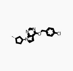 C[C@H]1CC[C@H](n2ccc3c(OCc4ccc(Cl)cc4)ncnc32)C1